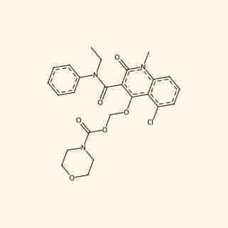 CCN(C(=O)c1c(OCOC(=O)N2CCOCC2)c2c(Cl)cccc2n(C)c1=O)c1ccccc1